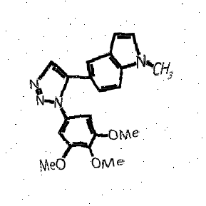 COc1cc(-n2nncc2-c2ccc3c(ccn3C)c2)cc(OC)c1OC